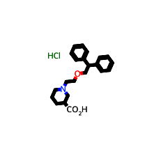 Cl.O=C(O)C1CCCN(CCOCC(c2ccccc2)c2ccccc2)C1